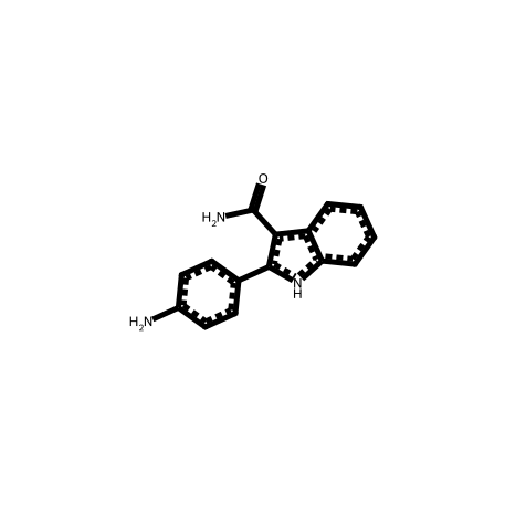 NC(=O)c1c(-c2ccc(N)cc2)[nH]c2ccccc12